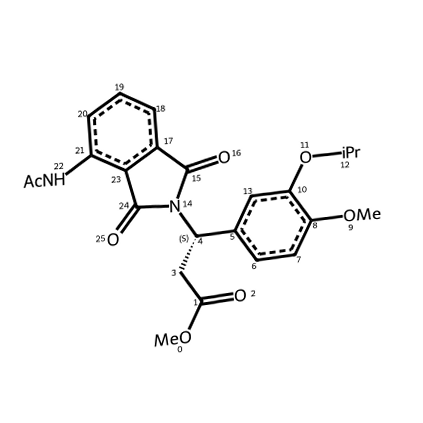 COC(=O)C[C@@H](c1ccc(OC)c(OC(C)C)c1)N1C(=O)c2cccc(NC(C)=O)c2C1=O